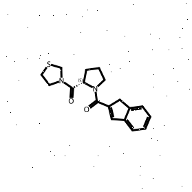 O=C([C@@H]1CCCN1C(=O)C1=Cc2ccccc2C1)N1CCSC1